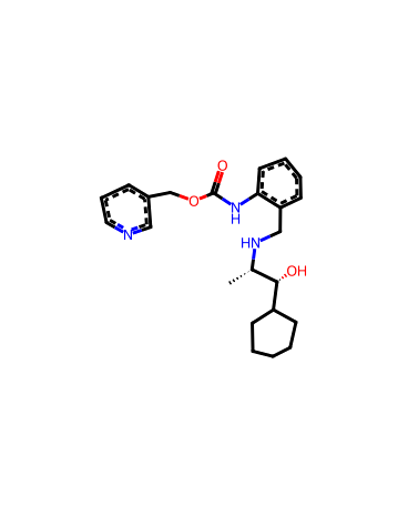 C[C@H](NCc1ccccc1NC(=O)OCc1cccnc1)[C@H](O)C1CCCCC1